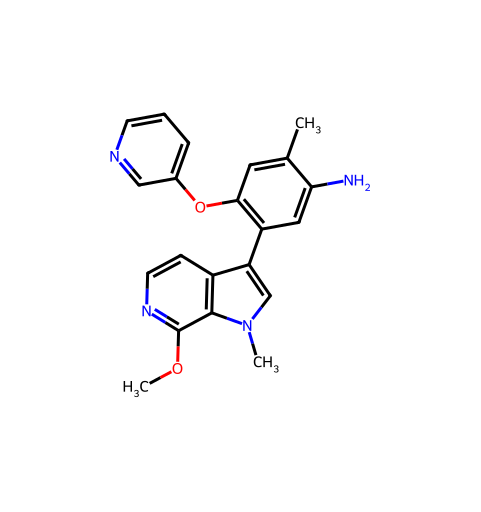 COc1nccc2c(-c3cc(N)c(C)cc3Oc3cccnc3)cn(C)c12